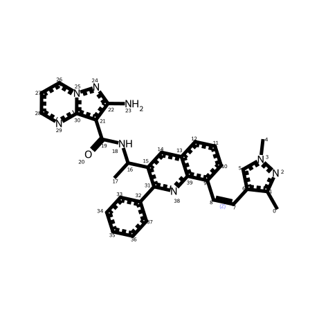 Cc1nn(C)cc1/C=C\c1cccc2cc(C(C)NC(=O)c3c(N)nn4cccnc34)c(-c3ccccc3)nc12